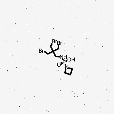 O=P(O)(NCC(CBr)(CBr)CBr)N1CCC1